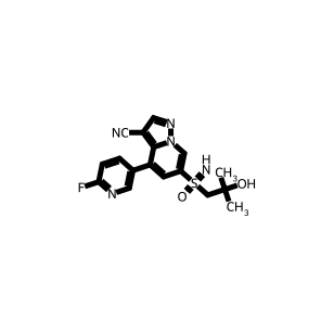 CC(C)(O)CS(=N)(=O)c1cc(-c2ccc(F)nc2)c2c(C#N)cnn2c1